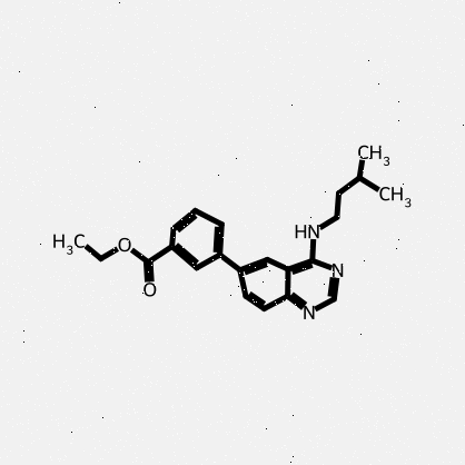 CCOC(=O)c1cccc(-c2ccc3ncnc(NCCC(C)C)c3c2)c1